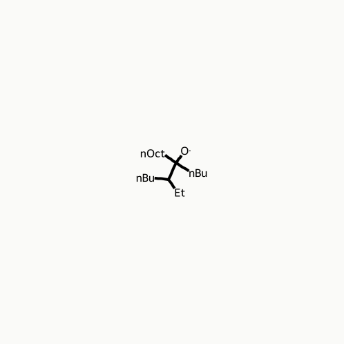 CCCCCCCCC([O])(CCCC)C(CC)CCCC